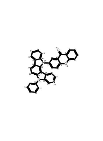 O=c1c2ccccc2oc2ccc(-n3c4ccccc4c4ccc5c(c6ccncc6n5-c5ccccc5)c43)cc12